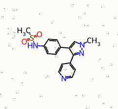 Cn1cc(-c2ccc(NS(C)(=O)=O)cc2)c(-c2ccncc2)n1